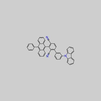 N#Cc1ccc(-c2cccc(-n3c4ccccc4c4ccccc43)c2)c(C#N)c1-c1c2ccccc2c(-c2ccccc2)c2ccccc12